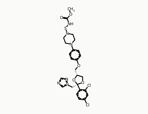 COC(=O)NSN1CCN(c2ccc(OC[C@@H]3CO[C@@](Cn4cncn4)(c4ccc(Cl)cc4Cl)O3)cc2)CC1